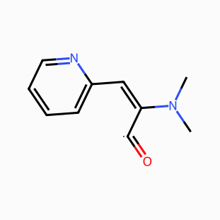 CN(C)/C([C]=O)=C/c1ccccn1